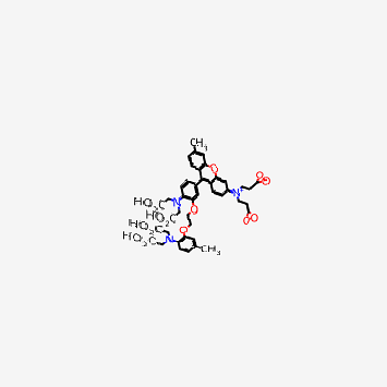 Cc1ccc(N(CC(=O)O)CC(=O)O)c(OCCOc2cc(-c3c4ccc(=[N+](CCC5OO5)CCC5OO5)cc-4oc4cc(C)ccc34)ccc2N(CC(=O)O)CC(=O)O)c1